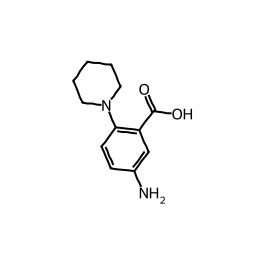 Nc1ccc(N2CCCCC2)c(C(=O)O)c1